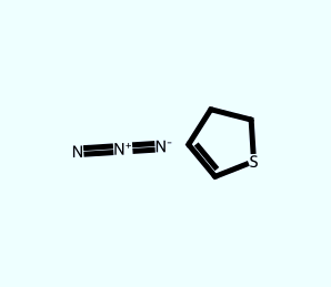 C1=CSCC1.[N-]=[N+]=[N-]